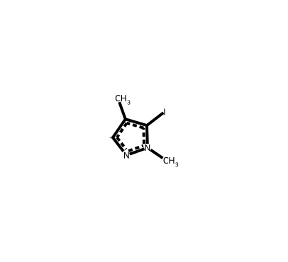 Cc1[c]nn(C)c1I